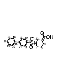 O=C(O)C1CCCN(S(=O)(=O)c2ccc(-c3ccccc3)cc2)C1